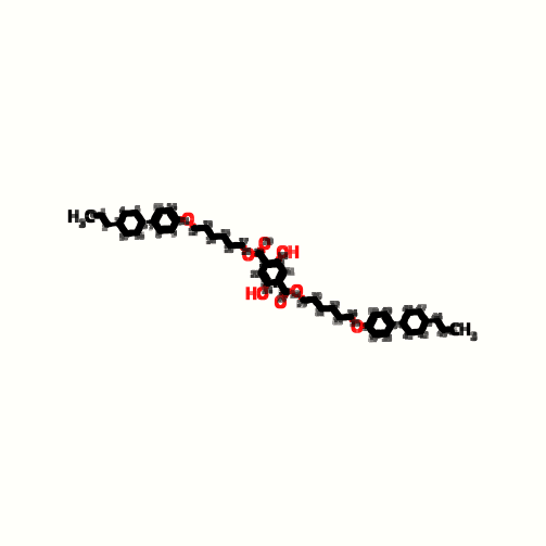 CCC[C@H]1CC[C@H](c2ccc(OCCCCCCOC(=O)c3cc(O)c(C(=O)OCCCCCCOc4ccc([C@H]5CC[C@H](CCC)CC5)cc4)cc3O)cc2)CC1